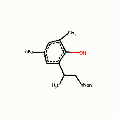 CCCCCCCCCCC(C)c1cc(CCCC)cc(C)c1O